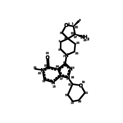 C[C@@H]1OCC2(CCN(c3nn(C4CCCCO4)c4ncn(C)c(=O)c34)CC2)[C@@H]1N